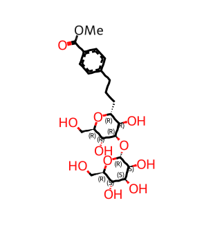 COC(=O)c1ccc(CCC[C@H]2O[C@H](CO)[C@@H](O)[C@H](O[C@H]3O[C@H](CO)[C@@H](O)[C@H](O)[C@@H]3O)[C@@H]2O)cc1